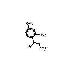 CCCC(CC(=O)O)c1ccc(OC)cc1OC